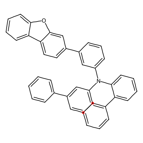 c1ccc(-c2cccc(N(c3cccc(-c4ccc5c(c4)oc4ccccc45)c3)c3ccccc3-c3ccccc3)c2)cc1